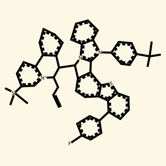 C=CCC1C(C2c3ccc4c(sc5cccc(-c6ccc(F)cc6)c54)c3-c3n(-c4ccc(C(C)(C)C)cc4)c4ccccc4[n+]32)c2ccccc2-c2ccc([Si](C)(C)C)c[n+]21